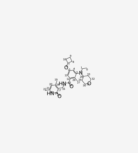 CCN(c1cc(OC2CCC2)cc(C(=O)NCc2c(C)cc(C)[nH]c2=O)c1C)C1CCOCC1